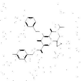 COC[C@H]1C[C@@]12CN(C(C)C)C(=O)c1c(OCc3ccccc3)c(=O)c(C(=O)NCc3ccc(F)cc3F)cn12